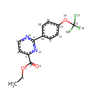 CCOC(=O)c1ccnc(-c2ccc(OC(F)(F)F)cc2)n1